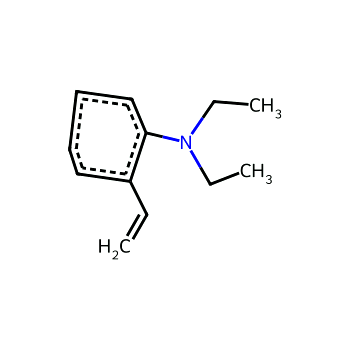 C=Cc1ccccc1N(CC)CC